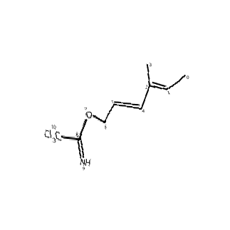 C/C=C(C)/C=C/COC(=N)C(Cl)(Cl)Cl